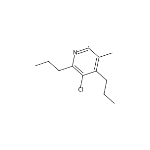 CCCc1n[c]c(C)c(CCC)c1Cl